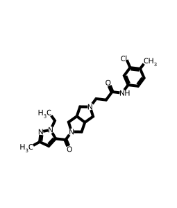 CCn1nc(C)cc1C(=O)N1CC2CN(CCC(=O)Nc3ccc(C)c(Cl)c3)CC2C1